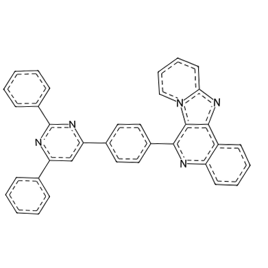 c1ccc(-c2cc(-c3ccc(-c4nc5ccccc5c5nc6ccccn6c45)cc3)nc(-c3ccccc3)n2)cc1